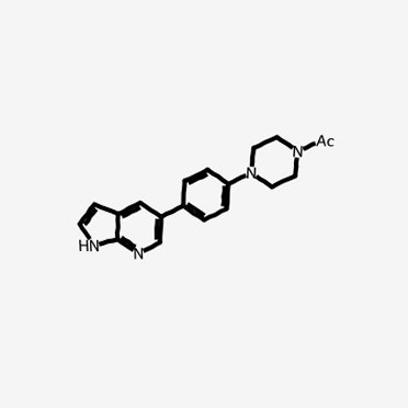 CC(=O)N1CCN(c2ccc(-c3cnc4[nH]ccc4c3)cc2)CC1